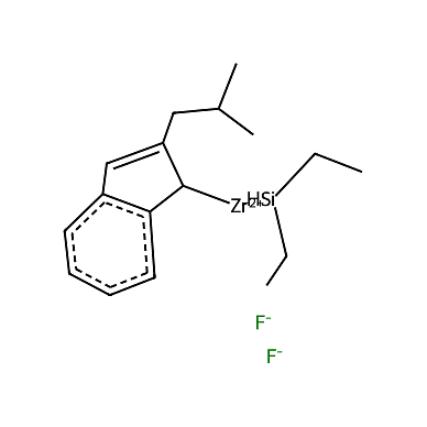 CC[SiH](CC)[Zr+2][CH]1C(CC(C)C)=Cc2ccccc21.[F-].[F-]